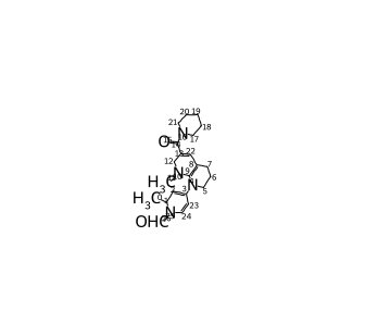 CC1C=C(N2CCCC3=C2N(C)CC(C(=O)N2CCCCC2)=C3)C=CN1C=O